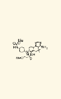 COCCS(=O)(=O)Nc1c(OC2CCC(NC(=O)OC(C)(C)C)CC2)ccc2c1CC(C)(C)c1c(N)ncnc1-2